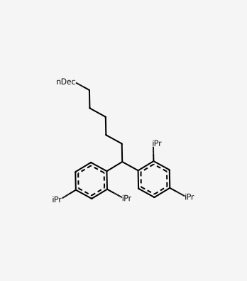 CCCCCCCCCCCCCCCC(c1ccc(C(C)C)cc1C(C)C)c1ccc(C(C)C)cc1C(C)C